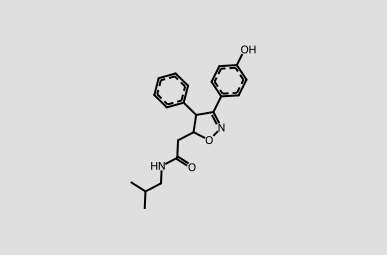 CC(C)CNC(=O)CC1ON=C(c2ccc(O)cc2)C1c1ccccc1